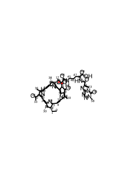 CC[C@@H]1c2cc3[nH]c4c(c3C)C(=O)C(C(=O)OC)c4c3nc(cc4[nH]c(cc(n2)[C@H]1C)c(C(C)=O)c4C)[C@H](C)[C@H]3CCC(=O)NCCCC(NC(=O)c1cn2c(=O)n(C)nnc2n1)C(=O)O